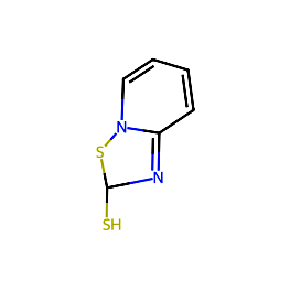 SC1N=C2C=CC=CN2S1